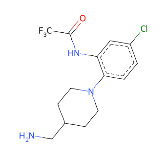 NCC1CCN(c2ccc(Cl)cc2NC(=O)C(F)(F)F)CC1